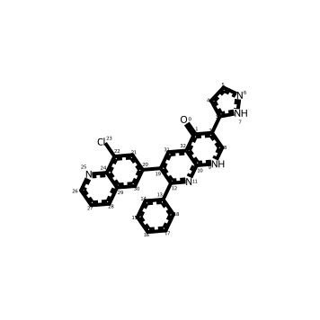 O=c1c(-c2ccn[nH]2)c[nH]c2nc(-c3ccccc3)c(-c3cc(Cl)c4ncccc4c3)cc12